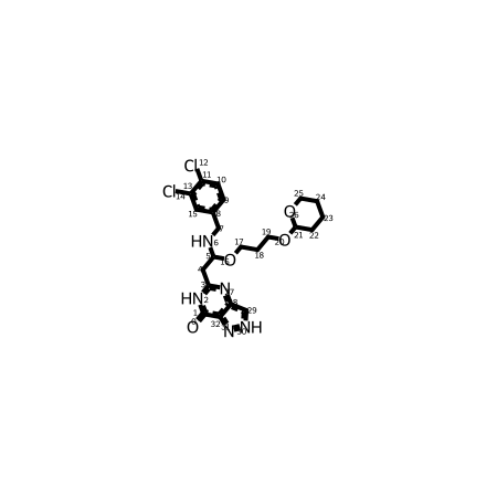 O=c1[nH]c(CC(NCc2ccc(Cl)c(Cl)c2)OCCCOC2CCCCO2)nc2c[nH]nc12